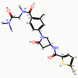 Cc1cc(N2CC(NC(=O)c3ccc(Br)s3)CC2=O)ccc1C(=O)N(C)CC(=O)N(C)C